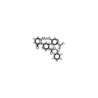 COc1cnc(C(F)F)cc1-c1cc(-n2ncccc2=O)ncc1C(=O)OCc1ccccc1